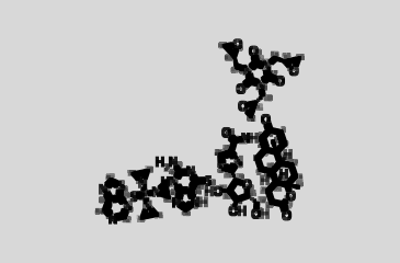 C[C@]12C=CC(=O)C=C1CC[C@@H]1[C@@H]2CC[C@]2(C)OC(=O)CC[C@@H]12.NC(=O)c1csc([C@@H]2O[C@H](CO)[C@@H](O)[C@H]2O)n1.Nc1nc(=S)c2[nH]cnc2[nH]1.O=c1n(C[C@H]2CO2)c(=O)n(C[C@@H]2CO2)c(=O)n1C[C@H]1CO1.S=P(N1CC1)(N1CC1)N1CC1.c1ncc2ncsc2n1